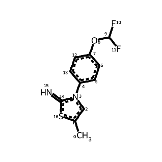 Cc1cn(-c2ccc(OC(F)F)cc2)c(=N)s1